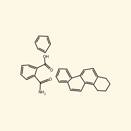 NC(=O)c1ccccc1C(=O)O.c1ccc2c(c1)ccc1c3c(ccc12)CCCC3.c1ccccc1